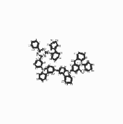 c1ccc(-c2nc(-c3cccc(-n4c5ccccc5c5cc(-c6ccc7c(c6)c6ccccc6n7-c6cc7c8c(c6)Oc6ccccc6B8c6ccccc6C7)ccc54)c3)nc(-n3c4ccccc4c4ccccc43)n2)cc1